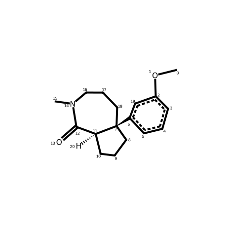 COc1cccc([C@@]23CCC[C@H]2C(=O)N(C)CCC3)c1